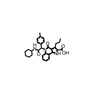 CCCc1c(C(=O)O)[nH]c2c1c(=O)n(C(C(=O)NC1CCCCC1)c1ccc(C)cc1)c1ccccc21